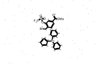 COC(=O)c1ccc(CBr)c(OS(=O)(=O)C(F)(F)F)c1.c1ccc(P(c2ccccc2)c2ccccc2)cc1